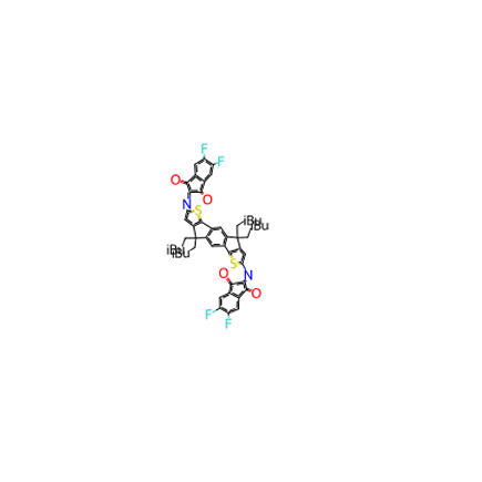 CCC(C)CC1(CC(C)CC)c2cc3c(cc2-c2sc(N=c4c(=O)c5cc(F)c(F)cc5c4=O)cc21)C(CC(C)CC)(CC(C)CC)c1cc(N=c2c(=O)c4cc(F)c(F)cc4c2=O)sc1-3